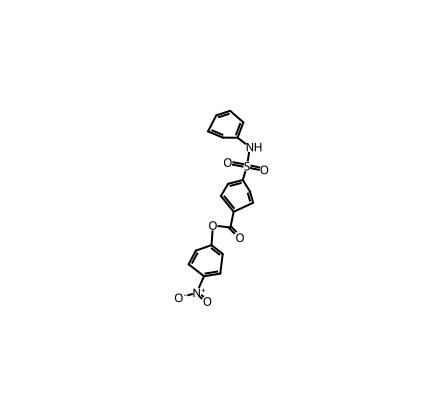 O=C(Oc1ccc([N+](=O)[O-])cc1)c1ccc(S(=O)(=O)Nc2ccccc2)cc1